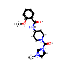 COc1ccccc1C(=O)NC1CCN(C(=O)n2cc[n+](C)c2)CC1